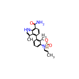 CC=CN(c1cccc(-c2ccc(C(N)=O)c3[nH]cc(C)c23)c1C)[SH](=O)=O